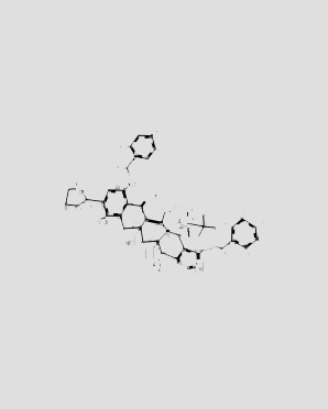 CC(C)(C)[Si](C)(C)O[C@@]12C(=O)c3c(OCc4ccccc4)noc3[C@@H](N)[C@@H]1C[C@@H]1Cc3c(F)c(C4CCCN4)cc(OCc4ccccc4)c3C(=O)C1=C2O